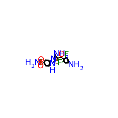 Nc1cc(F)c(C(=O)c2sc(Nc3ccc(S(N)(=O)=O)cc3)nc2N)c(F)c1